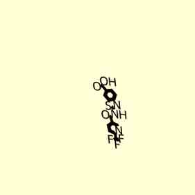 O=C(O)c1ccc2nc(NC(=O)c3ccc(C(F)(F)F)nc3)sc2c1